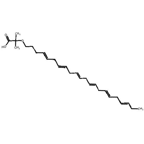 CCC=CCC=CCC=CCC=CCC=CCC=CCCCOC(C)(C)C(=O)O